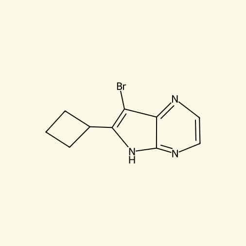 Brc1c(C2CCC2)[nH]c2nccnc12